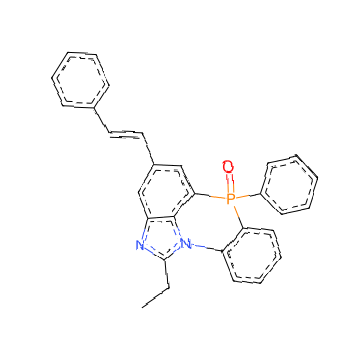 CCc1nc2cc(/C=C/c3ccccc3)cc3c2n1-c1ccccc1P3(=O)c1ccccc1